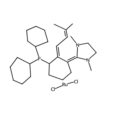 CC(C)=CC=C1C(=C2N(C)CCN2C)CCCC1P(C1CCCCC1)C1CCCCC1.[Cl][Ru][Cl]